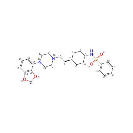 O=S(=O)(N[C@H]1CC[C@H](CCN2CCN(c3cccc4c3OCO4)CC2)CC1)c1ccccc1